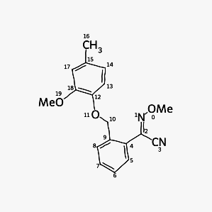 CON=C(C#N)c1ccccc1COc1ccc(C)cc1OC